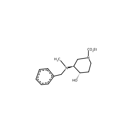 CCOC(=O)N1CC[C@H](O)[C@@H](N(C)Cc2ccccc2)C1